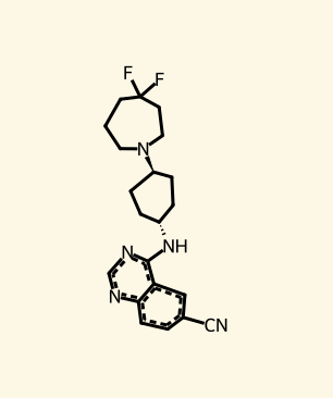 N#Cc1ccc2ncnc(N[C@H]3CC[C@H](N4CCCC(F)(F)CC4)CC3)c2c1